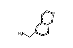 NCc1ccc2[c]nccc2c1